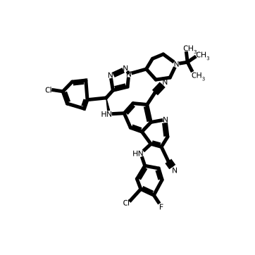 CC(C)(C)N1CCC(n2cc([C@@H](Nc3cc(C#N)c4ncc(C#N)c(Nc5ccc(F)c(Cl)c5)c4c3)c3ccc(Cl)cc3)nn2)CC1